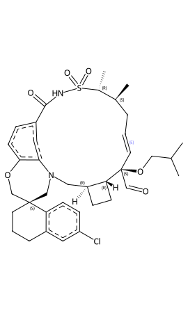 CC(C)CO[C@]1(C=O)/C=C/C[C@H](C)[C@@H](C)S(=O)(=O)NC(=O)c2ccc3c(c2)N(C[C@@H]2CC[C@H]21)C[C@@]1(CCCc2cc(Cl)ccc21)CO3